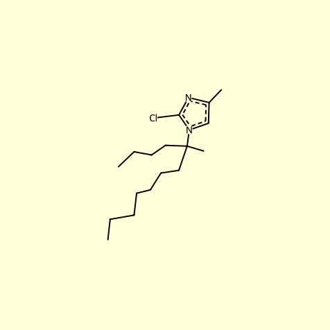 CCCCCCCC(C)(CCCC)n1cc(C)nc1Cl